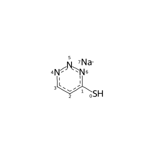 Sc1ccnnn1.[Na]